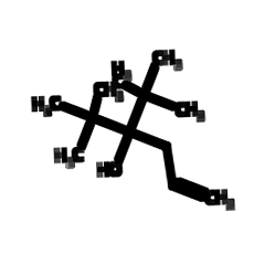 C=CCC(O)(C(C)(C)C)C(C)(C)C